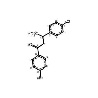 O=C(CC(C(=O)O)c1ccc(Cl)cc1)c1ccc(Br)cc1